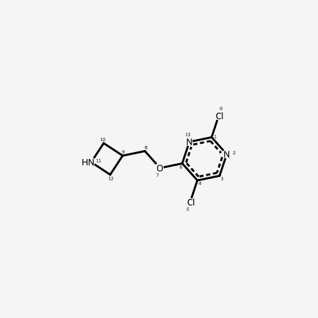 Clc1ncc(Cl)c(OCC2CNC2)n1